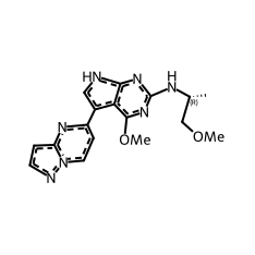 COC[C@@H](C)Nc1nc(OC)c2c(-c3ccn4nccc4n3)c[nH]c2n1